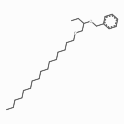 CCCCCCCCCCCCCCCCOCC(CC)OCc1ccccc1